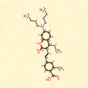 CCCCN(CCCC)c1ccc2c(CC)c(/C=C/c3ccc(C(=O)O)c(C)c3)c(=O)oc2c1